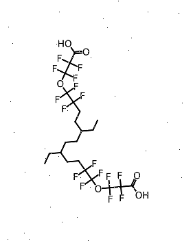 CCC(CCC(CC)CCC(F)(F)C(F)(F)OC(F)(F)C(F)(F)C(=O)O)CCC(F)(F)C(F)(F)OC(F)(F)C(F)(F)C(=O)O